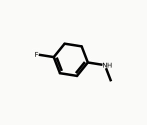 CNC1=CC=C(F)CC1